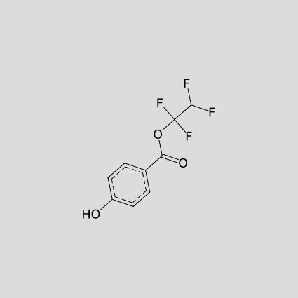 O=C(OC(F)(F)C(F)F)c1ccc(O)cc1